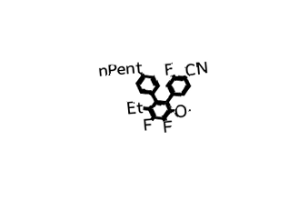 CCCCCc1ccc(-c2c(CC)c(F)c(F)c([O])c2-c2ccc(C#N)c(F)c2)cc1